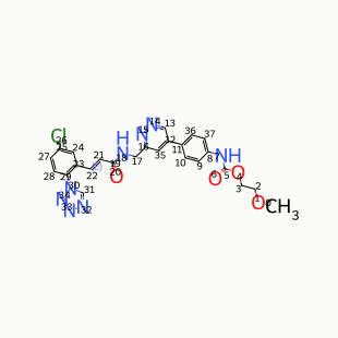 COCCOC(=O)Nc1ccc(-c2cnnc(CNC(=O)/C=C/c3cc(Cl)ccc3-n3cnnn3)c2)cc1